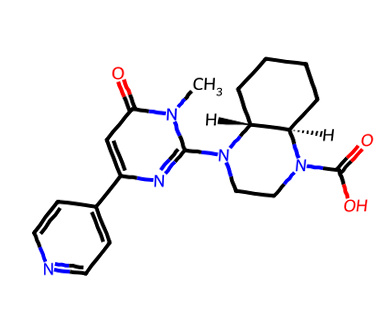 Cn1c(N2CCN(C(=O)O)[C@@H]3CCCC[C@H]32)nc(-c2ccncc2)cc1=O